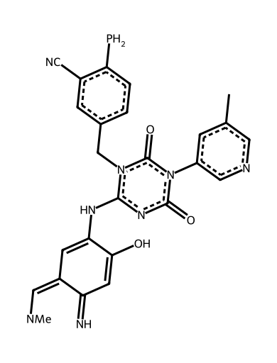 CN/C=C1/C=C(Nc2nc(=O)n(-c3cncc(C)c3)c(=O)n2Cc2ccc(P)c(C#N)c2)C(O)=CC1=N